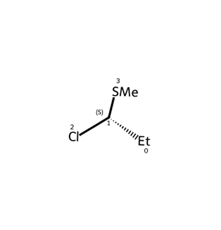 CC[C@H](Cl)SC